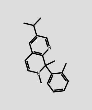 Cc1ccccc1C1(C)c2ncc(C(C)C)cc2C=CN1C